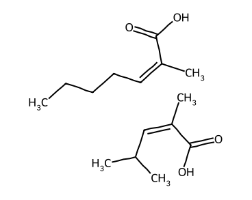 CC(=CC(C)C)C(=O)O.CCCCC=C(C)C(=O)O